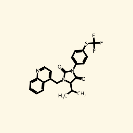 CC(C)C1C(=O)N(c2ccc(SC(F)(F)F)cc2)C(=O)N1Cc1ccnc2ccccc12